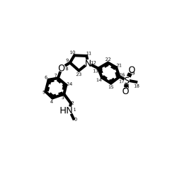 CNCc1cccc(OC2CCN(c3ccc(S(C)(=O)=O)cc3)C2)c1